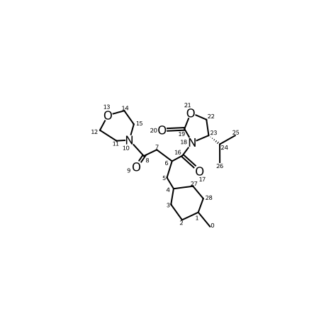 CC1CCC(CC(CC(=O)N2CCOCC2)C(=O)N2C(=O)OC[C@@H]2C(C)C)CC1